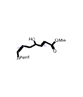 CCCCC/C=C\CC(O)/C=C/C(=O)OC